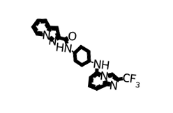 O=C(N[C@H]1CC[C@@H](Nc2cccc3nc(C(F)(F)F)cn23)CC1)c1cc2ccccn2n1